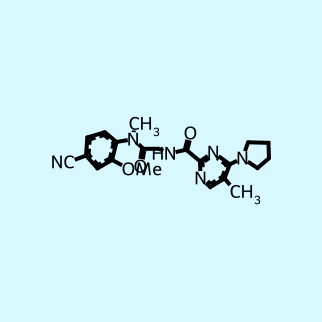 COc1cc(C#N)ccc1N(C)C(=O)CNC(=O)c1ncc(C)c(N2CCCC2)n1